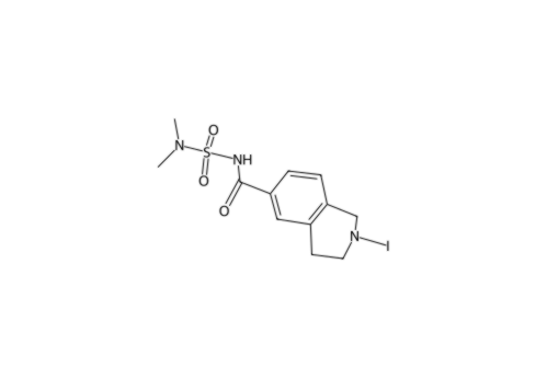 CN(C)S(=O)(=O)NC(=O)c1ccc2c(c1)CCN(I)C2